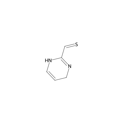 S=CC1=NCC=CN1